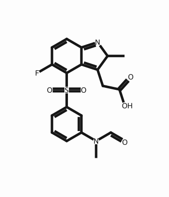 CC1N=c2ccc(F)c(S(=O)(=O)c3cccc(N(C)C=O)c3)c2=C1CC(=O)O